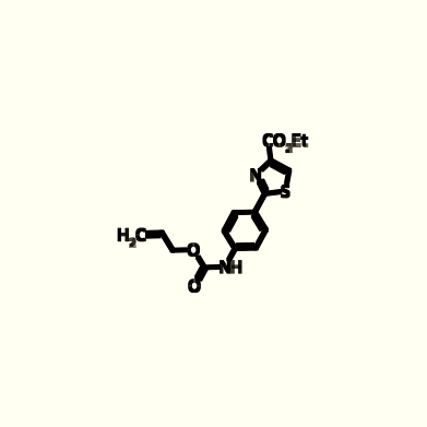 C=CCOC(=O)Nc1ccc(-c2nc(C(=O)OCC)cs2)cc1